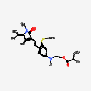 CCCCCCCCSc1cc(N(CC)CCOC(=O)C(CC)CCCC)ccc1/C=C/C1=C(C#N)C(=C(C#N)C#N)N(CCCC)C1=O